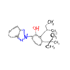 CCC(C)c1c(C(C)(C)C)ccc(-n2nc3ccccc3n2)c1O